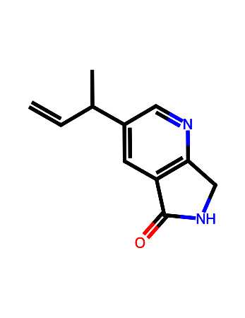 C=CC(C)c1cnc2c(c1)C(=O)NC2